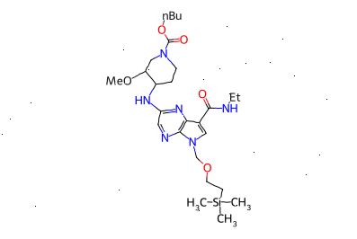 CCCCOC(=O)N1CCC(Nc2cnc3c(n2)c(C(=O)NCC)cn3COCC[Si](C)(C)C)C(OC)C1